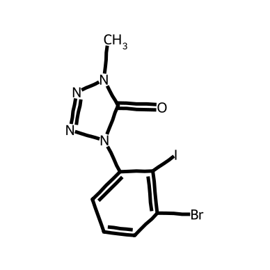 Cn1nnn(-c2cccc(Br)c2I)c1=O